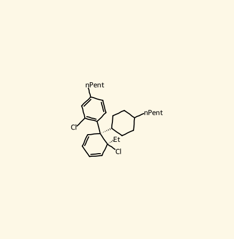 CCCCCc1ccc([C@]2(C3CCC(CCCCC)CC3)C=CC=C[C@@]2(Cl)CC)c(Cl)c1